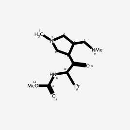 CNCC1CN(C)CC1C(=O)C(NC(=O)OC)C(C)C